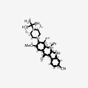 BC(B)(B)N1[C@H](C)CN(c2c(OC)cc3c(=O)c4c5ccc(C#N)cc5[nH]c4n(C(C)C)c3c2F)C[C@@H]1C